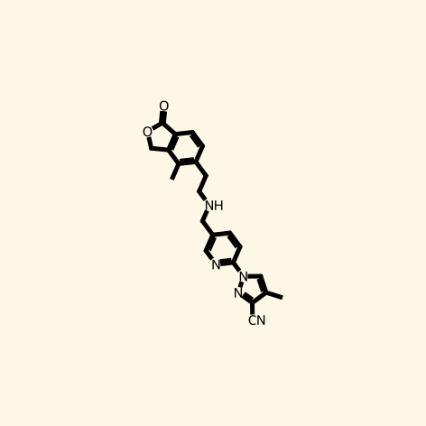 Cc1cn(-c2ccc(CNCCc3ccc4c(c3C)COC4=O)cn2)nc1C#N